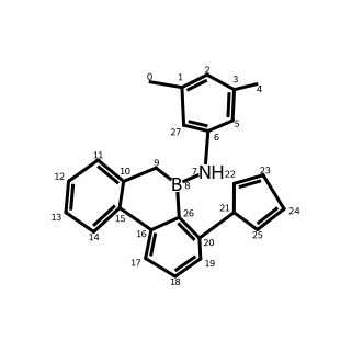 Cc1cc(C)cc(NB2Cc3ccccc3-c3cccc(C4C=CC=C4)c32)c1